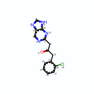 O=C(Cc1ncc2nc[nH]c2n1)Cc1ccccc1Cl